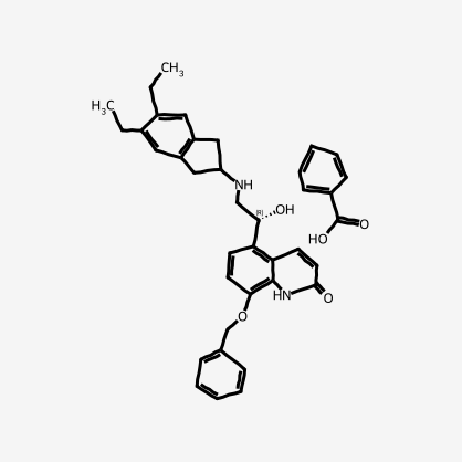 CCc1cc2c(cc1CC)CC(NC[C@H](O)c1ccc(OCc3ccccc3)c3[nH]c(=O)ccc13)C2.O=C(O)c1ccccc1